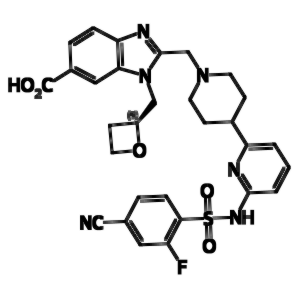 N#Cc1ccc(S(=O)(=O)Nc2cccc(C3CCN(Cc4nc5ccc(C(=O)O)cc5n4C[C@@H]4CCO4)CC3)n2)c(F)c1